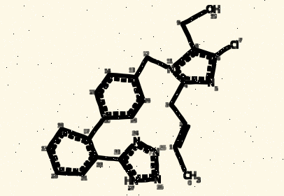 CC=CCc1nc(Cl)c(CO)n1Cc1ccc(-c2ccccc2-c2nnn[nH]2)cc1